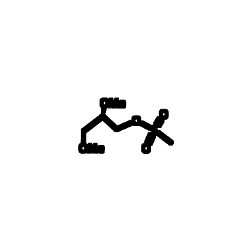 COC[C@@H](COS(C)(=O)=O)OC